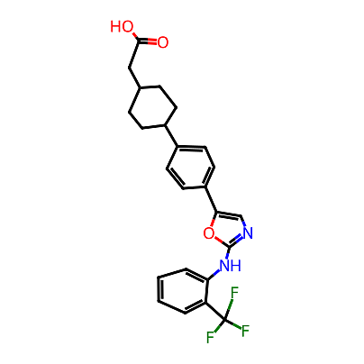 O=C(O)CC1CCC(c2ccc(-c3cnc(Nc4ccccc4C(F)(F)F)o3)cc2)CC1